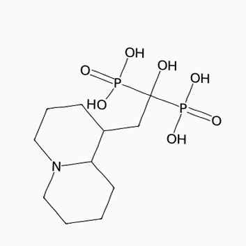 O=P(O)(O)C(O)(CC1CCCN2CCCCC12)P(=O)(O)O